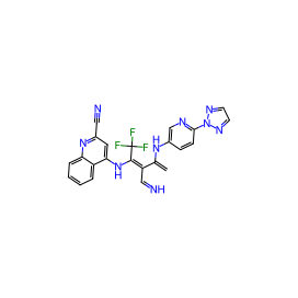 C=C(Nc1ccc(-n2nccn2)nc1)/C(C=N)=C(/Nc1cc(C#N)nc2ccccc12)C(F)(F)F